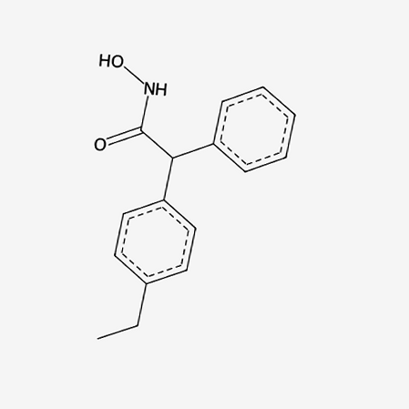 CCc1ccc(C(C(=O)NO)c2ccccc2)cc1